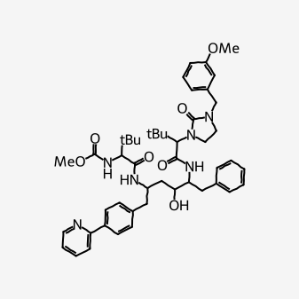 COC(=O)NC(C(=O)NC(Cc1ccc(-c2ccccn2)cc1)CC(O)C(Cc1ccccc1)NC(=O)C(N1CCN(Cc2cccc(OC)c2)C1=O)C(C)(C)C)C(C)(C)C